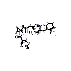 C=C/N=C\C(=C/N)C(=O)NC1(C(=O)NCC(=C)/N=C\C(=C/N)Oc2ccccc2C(F)(F)F)CC1